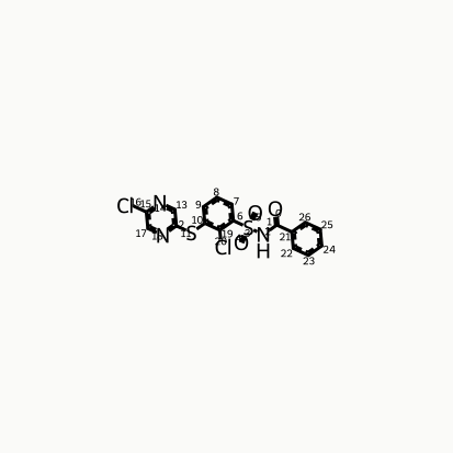 O=C(NS(=O)(=O)c1cccc(Sc2cnc(Cl)cn2)c1Cl)c1ccccc1